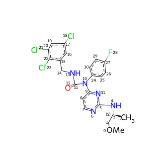 COC[C@H](C)Nc1nccc(N(C(=O)NCc2cc(Cl)cc(Cl)c2Cl)c2ccc(F)cc2)n1